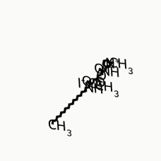 CCCCCCCCCCCCCCCCCCNC(=O)OCC(COC(=O)Nc1ccc[n+](C)c1)OC.[I-]